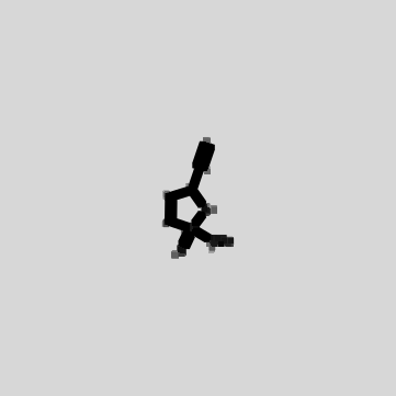 C#CC1C=CP(=S)(NC)S1